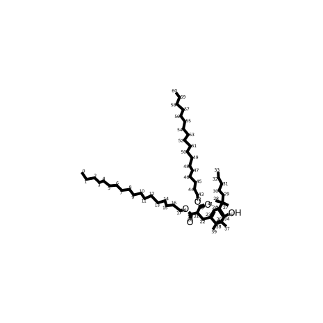 CCCCCCCCCCCCCCCCCCOC(=O)C(Cc1cc(C(C)(C)CCCCC)c(O)c(C)c1C)C(=O)OCCCCCCCCCCCCCCCCCC